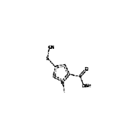 COC(=O)c1cc(SC#N)cn1C